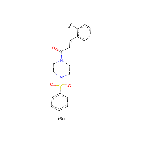 Cc1ccccc1C=CC(=O)N1CCN(S(=O)(=O)c2ccc(C(C)(C)C)cc2)CC1